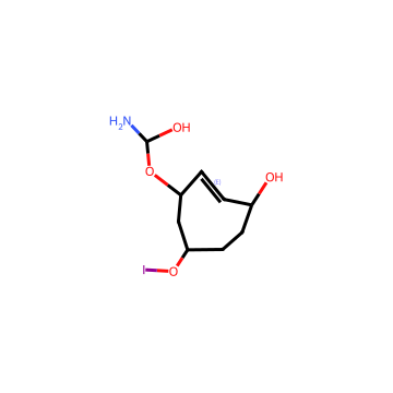 NC(O)OC1/C=C/C(O)CCC(OI)C1